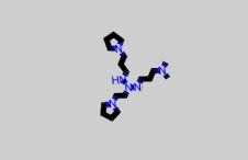 CN(C)CCC[N]N(CCN1CCCC1)NCCCN1CCCC1